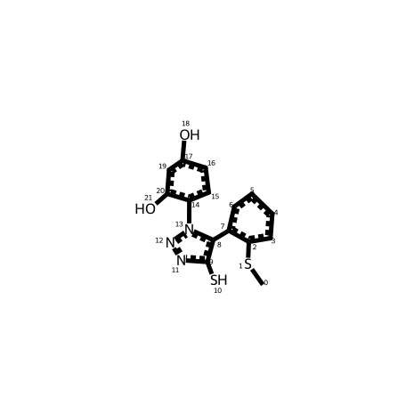 CSc1ccccc1-c1c(S)nnn1-c1ccc(O)cc1O